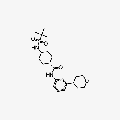 CC(C)(C)S(=O)(=O)N[C@H]1CC[C@H](C(=O)Nc2cccc(C3CCOCC3)c2)CC1